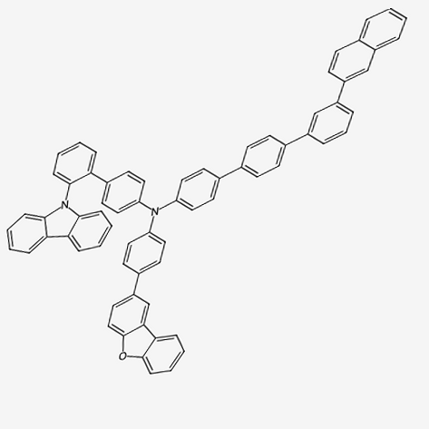 c1cc(-c2ccc(-c3ccc(N(c4ccc(-c5ccc6oc7ccccc7c6c5)cc4)c4ccc(-c5ccccc5-n5c6ccccc6c6ccccc65)cc4)cc3)cc2)cc(-c2ccc3ccccc3c2)c1